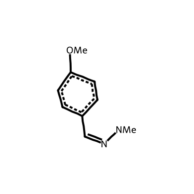 CN/N=C\c1ccc(OC)cc1